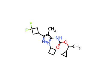 Cc1c(C2CC(F)(F)C2)nn(C2CCC2)c1NC(=O)O[C@H](C)C1CC1